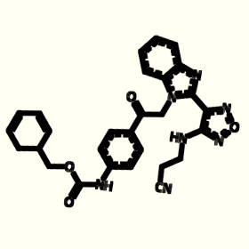 N#CCCNc1nonc1-c1nc2ccccc2n1CC(=O)c1ccc(NC(=O)OCC2C=CC=CC2)cc1